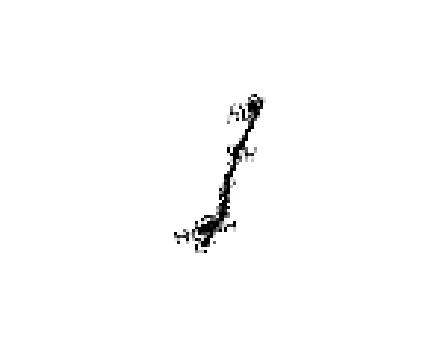 CCC(CCCCCCCC(=O)NCCOCCOCCOCCOCCC(=O)NC(CC[C]=O)C(=O)O)C(=O)O